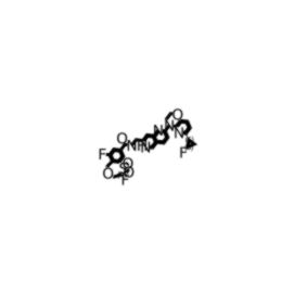 O=C(NCc1cc2nc(N3CCOc4ccc([C@@H]5C[C@@H]5F)nc43)ccc2cn1)c1cc(F)c2c(c1)S(=O)(=O)[C@@H](F)COC2